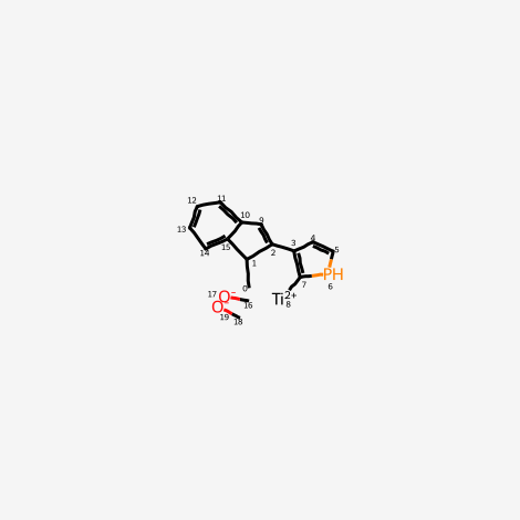 CC1C(c2cc[pH][c]2[Ti+2])=Cc2ccccc21.C[O-].C[O-]